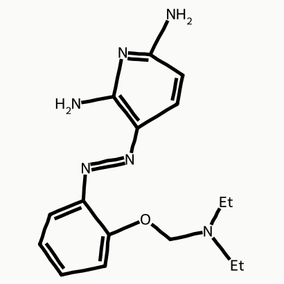 CCN(CC)COc1ccccc1/N=N/c1ccc(N)nc1N